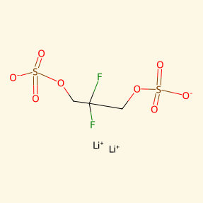 O=S(=O)([O-])OCC(F)(F)COS(=O)(=O)[O-].[Li+].[Li+]